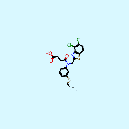 CCSc1cccc(N(Cc2nc3c(Cl)c(Cl)ccc3s2)C(=O)CCC(=O)O)c1